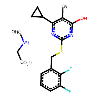 N#Cc1c(O)nc(SCc2cccc(F)c2F)nc1C1CC1.O=CNCC(=O)O